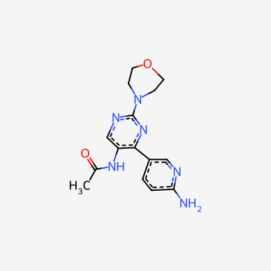 CC(=O)Nc1cnc(N2CCOCC2)nc1-c1ccc(N)nc1